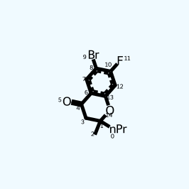 CCCC1(C)CC(=O)c2cc(Br)c(F)cc2O1